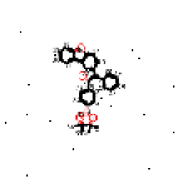 CC1(C)OB(c2ccc(-c3oc4c(ccc5oc6ccccc6c54)c3-c3ccccc3)cc2)OC1(C)C